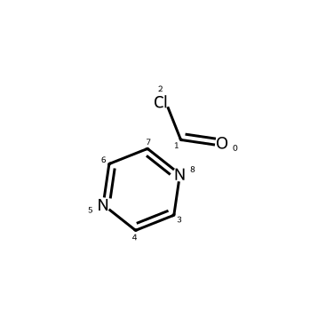 O=CCl.c1cnccn1